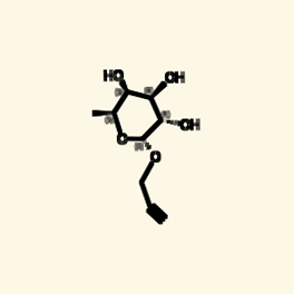 C#CCO[C@@H]1O[C@@H](C)[C@@H](O)[C@@H](O)[C@@H]1O